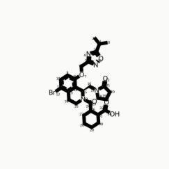 CC(C)c1nc(COc2ccc(Br)c3c2[C@@H](CN2CCCC2=O)N(C(=O)C2CCCCC2C(=O)O)CC3)no1